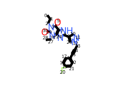 CCCn1c(=O)c2[nH]c(-c3cnn(CC#Cc4ccc(F)cc4)c3)nc2n(CC)c1=O